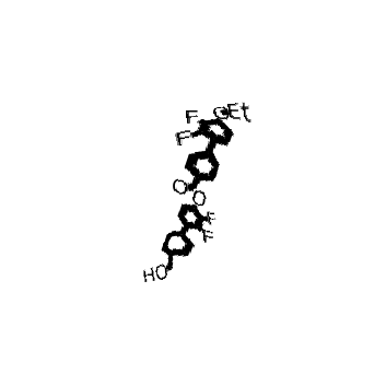 CCOc1ccc(-c2ccc(C(=O)Oc3ccc(C4CCC(CO)CC4)c(F)c3F)cc2)c(F)c1F